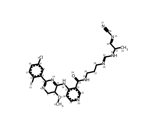 COC1CN=C(c2cc(Cl)ccc2F)N=C1Nc1ccncc1C(=O)NCCCN=CNC(C)C=NC#N